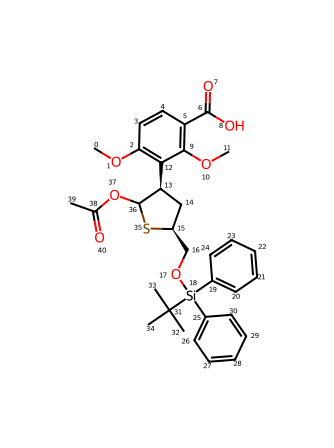 COc1ccc(C(=O)O)c(OC)c1[C@H]1C[C@@H](CO[Si](c2ccccc2)(c2ccccc2)C(C)(C)C)SC1OC(C)=O